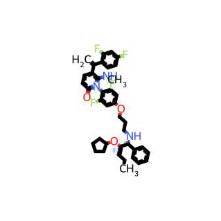 C=C(c1ccc(F)cc1F)c1ccc(=O)n(-c2c(F)cc(OCCCN[C@H](/C(=C\CC)OC3CCCC3)c3ccccc3)cc2F)c1NC